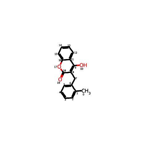 Cc1ccccc1Cc1c(O)c2ccccc2oc1=O